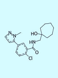 Cn1nccc1-c1ccc(Cl)c(C(=O)NCC2(O)CCCCCC2)c1